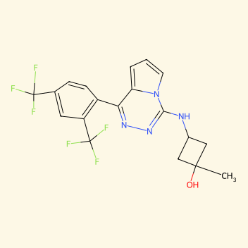 CC1(O)CC(Nc2nnc(-c3ccc(C(F)(F)F)cc3C(F)(F)F)c3cccn23)C1